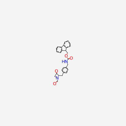 O=CN1CC(=O)C1Cc1ccc(CNC(=O)OCC2c3ccccc3-c3ccccc32)cc1